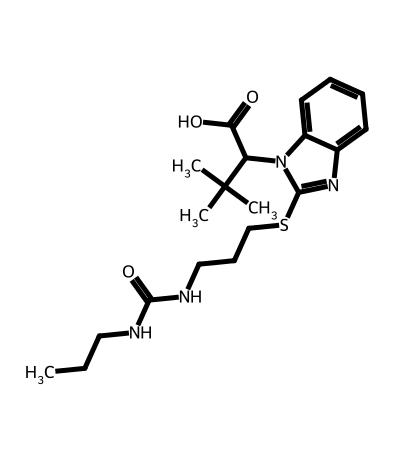 CCCNC(=O)NCCCSc1nc2ccccc2n1C(C(=O)O)C(C)(C)C